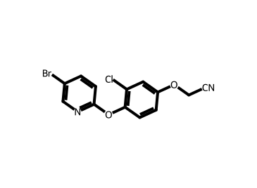 N#CCOc1ccc(Oc2ccc(Br)cn2)c(Cl)c1